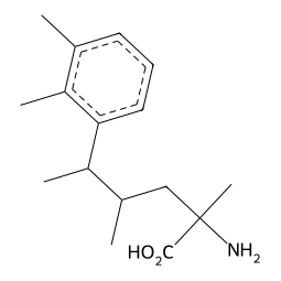 Cc1cccc(C(C)C(C)CC(C)(N)C(=O)O)c1C